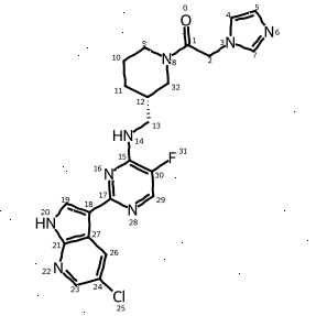 O=C(Cn1ccnc1)N1CCC[C@@H](CNc2nc(-c3c[nH]c4ncc(Cl)cc34)ncc2F)C1